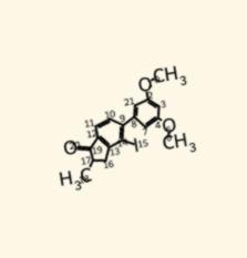 COc1cc(OC)cc(-c2ccc3c(c2I)CC(C)C3=O)c1